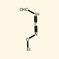 CCON=C=[SH]C=O